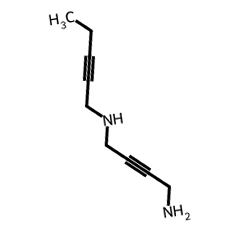 CCC#CCNCC#CCN